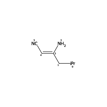 CC(C)C/C(N)=C/C#N